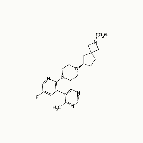 CCOC(=O)N1CC2(CC[C@@H](N3CCN(c4ncc(F)cc4-c4cncnc4C)CC3)C2)C1